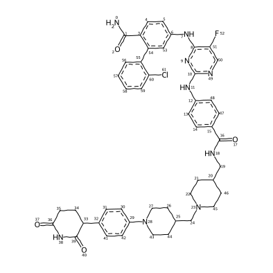 NC(=O)c1ccc(Nc2nc(Nc3ccc(C(=O)NCC4CCN(CC5CCN(c6ccc(C7CCC(=O)NC7=O)cc6)CC5)CC4)cc3)ncc2F)cc1-c1ccccc1Cl